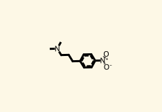 CN(C)CCCc1ccc([N+](=O)[O-])cc1